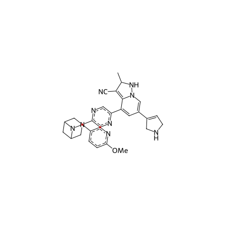 COc1ccc(CN2C3CC2CN(c2cnc(C4=CC(C5=CCNC5)=CN5NC(C)C(C#N)=C45)cn2)C3)cn1